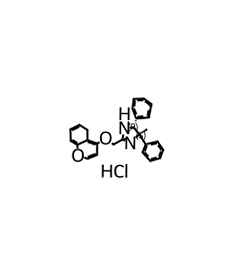 C[C@@]1(c2ccccc2)N=C(COC2=C3CC=CC=C3OC=C2)N[C@@H]1c1ccccc1.Cl